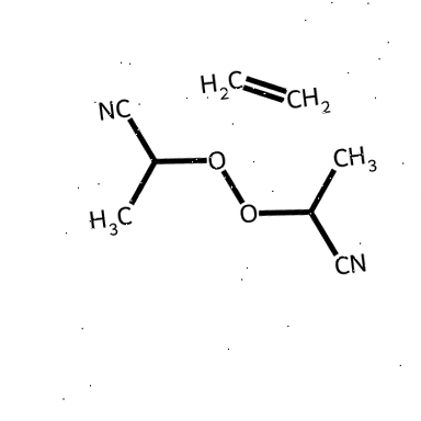 C=C.CC(C#N)OOC(C)C#N